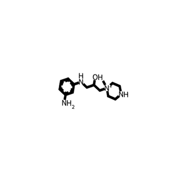 C[N+]1(CC(O)CNc2cccc(N)c2)CCNCC1